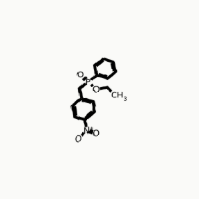 CCOP(=O)(Cc1ccc([N+](=O)[O-])cc1)c1ccccc1